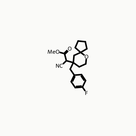 COC(=O)C(C#N)C1(Cc2ccc(F)cc2)CCOC2(CCCC2)C1